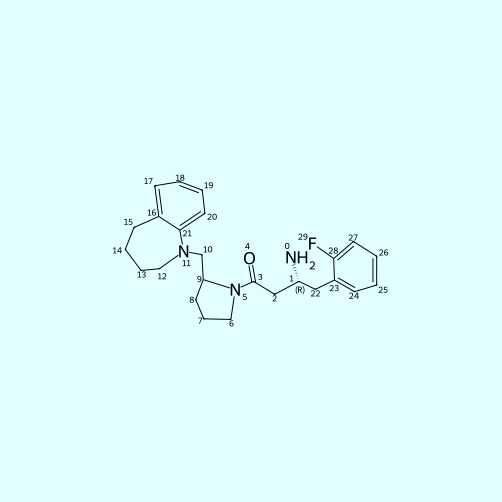 N[C@@H](CC(=O)N1CCCC1CN1CCCCc2ccccc21)Cc1ccccc1F